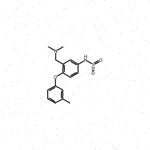 Cc1cccc(Oc2ccc(N[SH](=O)=O)cc2CN(C)C)c1